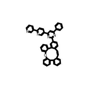 C1=C\c2ccc(-c3nc(-c4ccccc4)cc(-c4ccc(-c5cccnc5)nc4)n3)cc2-c2ccccc2Oc2ccccc2-c2ccccc2/1